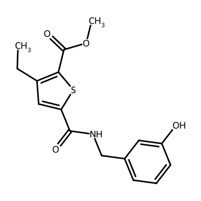 CCc1cc(C(=O)NCc2cccc(O)c2)sc1C(=O)OC